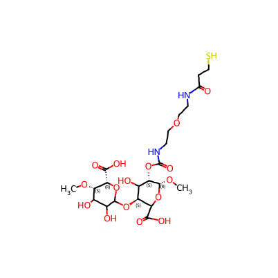 CO[C@@H]1OC(C(=O)O)[C@@H](OC2O[C@@H](C(=O)O)[C@@H](OC)C(O)C2O)C(O)[C@@H]1OC(=O)NCCOCCNC(=O)CCS